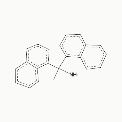 CC([NH])(c1cccc2ccccc12)c1cccc2ccccc12